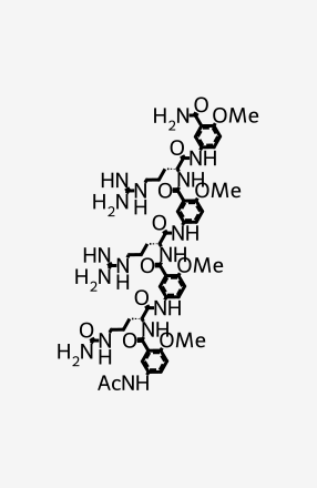 COc1ccc(NC(=O)[C@@H](CCCNC(=N)N)NC(=O)c2cc(NC(=O)[C@@H](CCCNC(=N)N)NC(=O)c3cc(NC(=O)[C@@H](CCCNC(N)=O)NC(=O)c4cc(NC(C)=O)ccc4OC)ccc3OC)ccc2OC)cc1C(N)=O